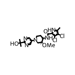 CO[C@H]1CN(c2cnc(C(C)(C)O)nc2)CC[C@H]1NC(=O)c1[nH]c(C)c(Cl)c1Cl